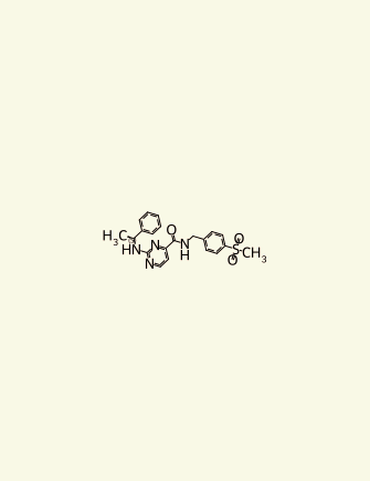 C[C@H](Nc1nccc(C(=O)NCc2ccc(S(C)(=O)=O)cc2)n1)c1ccccc1